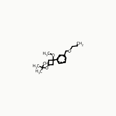 C=CCOCc1cccc(C2(OC)CC(OC(C)(C)C)C2)c1